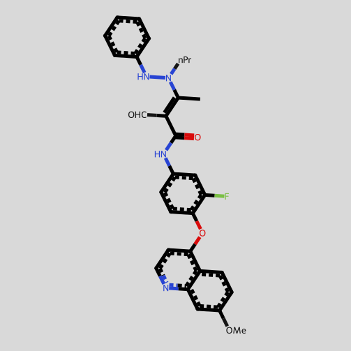 CCCN(Nc1ccccc1)/C(C)=C(\C=O)C(=O)Nc1ccc(Oc2ccnc3cc(OC)ccc23)c(F)c1